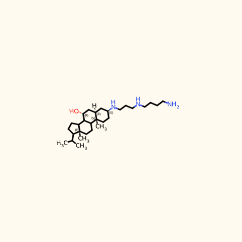 CC(C)C1CCC2C3C(CC[C@]12C)[C@@]1(C)CC[C@H](NCCCNCCCCN)C[C@@H]1C[C@H]3O